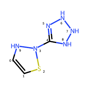 [C]1=CSN(C2=NNNN2)N1